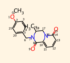 COc1ccc(CN2C(=O)c3cccc(=O)n3CC2C)cc1